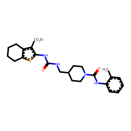 CCOC(=O)c1c(NC(=O)NCC2CCN(C(=O)Nc3ccccc3C)CC2)sc2c1CCCC2